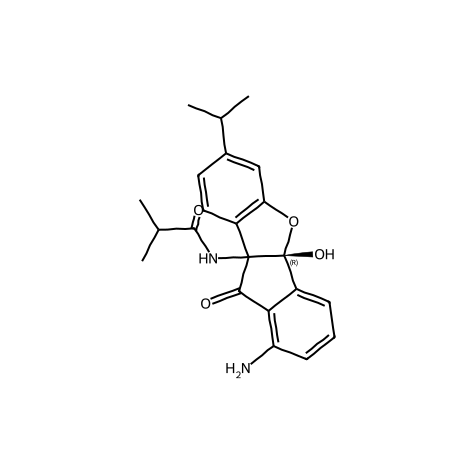 CC(C)C(=O)NC12C(=O)c3c(N)cccc3[C@@]1(O)Oc1cc(C(C)C)ccc12